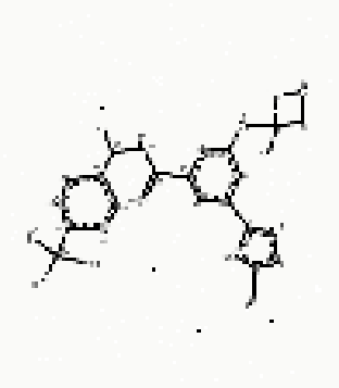 Cc1cnc(-c2cc(OC3(C)COC3)cc(C(=O)NC(C)c3cnc(C(F)(F)F)nc3)c2)s1